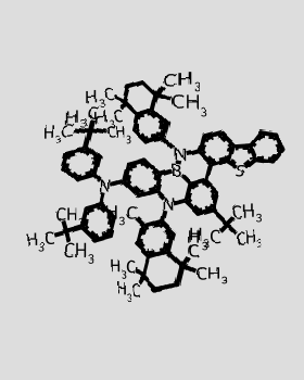 Cc1cc2c(cc1N1c3cc(N(c4cccc(C(C)(C)C)c4)c4cccc(C(C)(C)C)c4)ccc3B3c4c(cc(C(C)(C)C)cc41)-c1c(ccc4c1sc1ccccc14)N3c1ccc3c(c1)C(C)(C)CCC3(C)C)C(C)(C)CCC2(C)C